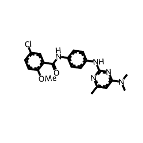 COc1ccc(Cl)cc1C(=O)Nc1ccc(Nc2nc(C)cc(N(C)C)n2)cc1